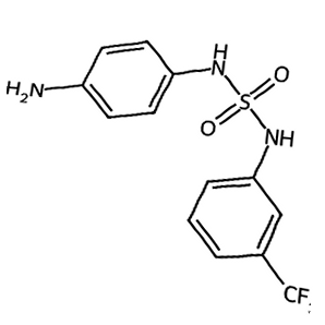 Nc1ccc(NS(=O)(=O)Nc2cccc(C(F)(F)F)c2)cc1